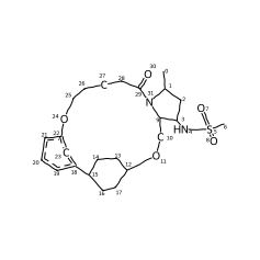 CC1CC(NS(C)(=O)=O)C2COC3CCC(CC3)c3cccc(c3)OCCCCC(=O)N12